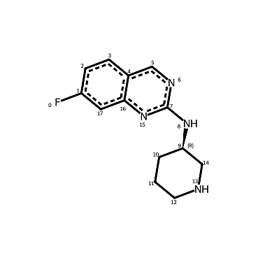 Fc1ccc2cnc(N[C@@H]3CCCNC3)nc2c1